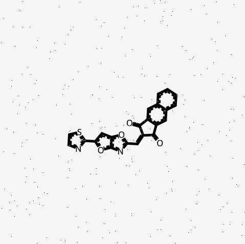 O=C1C(=Cc2nc3oc(-c4nccs4)cc3o2)C(=O)c2cc3ccccc3cc21